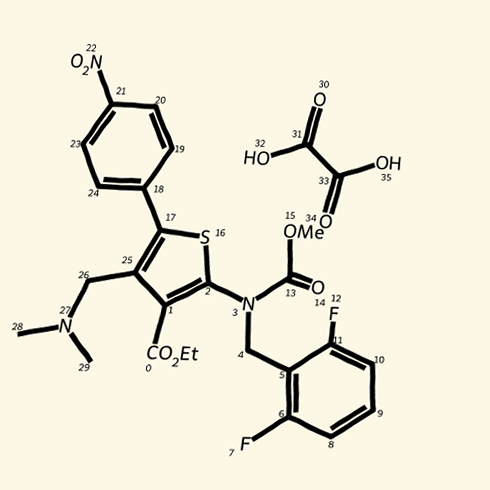 CCOC(=O)c1c(N(Cc2c(F)cccc2F)C(=O)OC)sc(-c2ccc([N+](=O)[O-])cc2)c1CN(C)C.O=C(O)C(=O)O